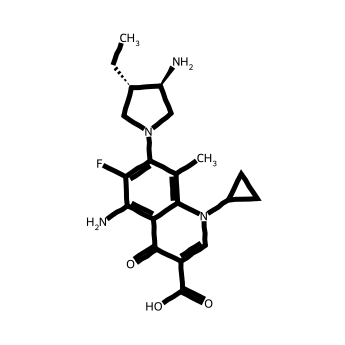 CC[C@H]1CN(c2c(F)c(N)c3c(=O)c(C(=O)O)cn(C4CC4)c3c2C)C[C@@H]1N